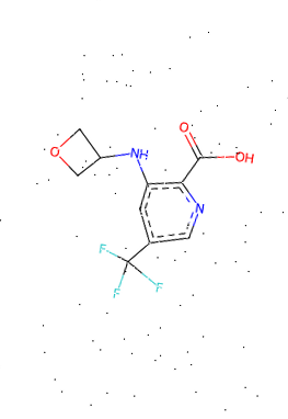 O=C(O)c1ncc(C(F)(F)F)cc1NC1COC1